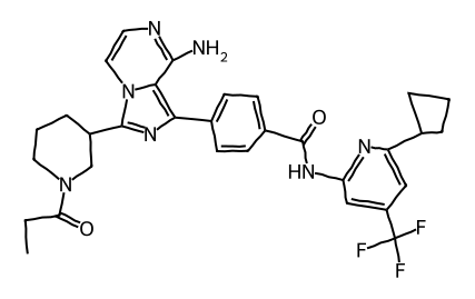 CCC(=O)N1CCCC(c2nc(-c3ccc(C(=O)Nc4cc(C(F)(F)F)cc(C5CCC5)n4)cc3)c3c(N)nccn23)C1